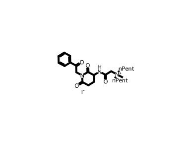 CCCCC[N+](C)(CCCCC)CC(=O)NC1CCC(=O)N(CC(=O)c2ccccc2)C1=O.[I-]